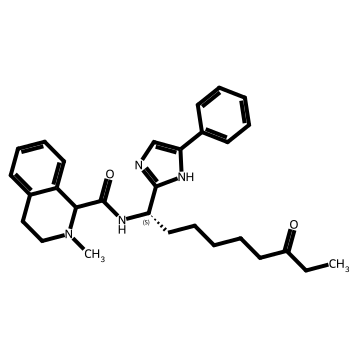 CCC(=O)CCCCC[C@H](NC(=O)C1c2ccccc2CCN1C)c1ncc(-c2ccccc2)[nH]1